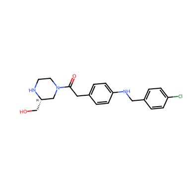 O=C(Cc1ccc(NCc2ccc(Cl)cc2)cc1)N1CCN[C@@H](CO)C1